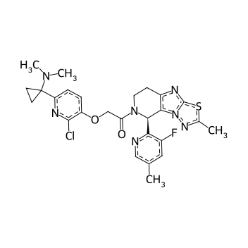 Cc1cnc([C@@H]2c3c(nc4sc(C)nn34)CCN2C(=O)COc2ccc(C3(N(C)C)CC3)nc2Cl)c(F)c1